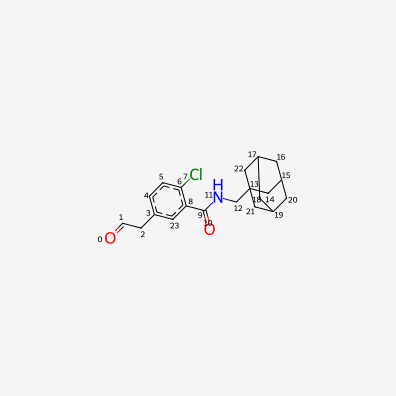 O=CCc1ccc(Cl)c(C(=O)NCC23CC4CC(CC(C4)C2)C3)c1